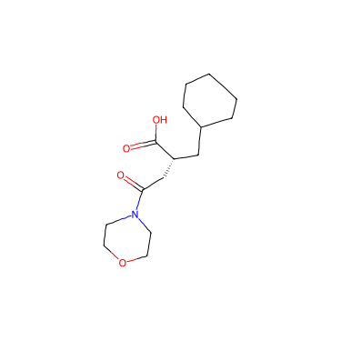 O=C(O)[C@@H](CC(=O)N1CCOCC1)CC1CCCCC1